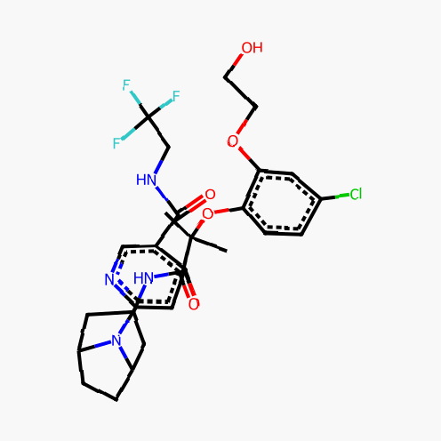 CC(C)(Oc1ccc(Cl)cc1OCCO)C(=O)NC1CC2CCC(C1)N2c1ccc(C(=O)NCC(F)(F)F)cn1